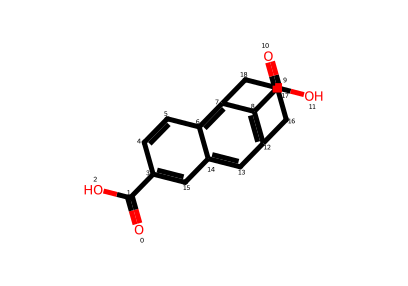 O=C(O)c1ccc2c3c(C(=O)O)c(cc2c1)CCC3